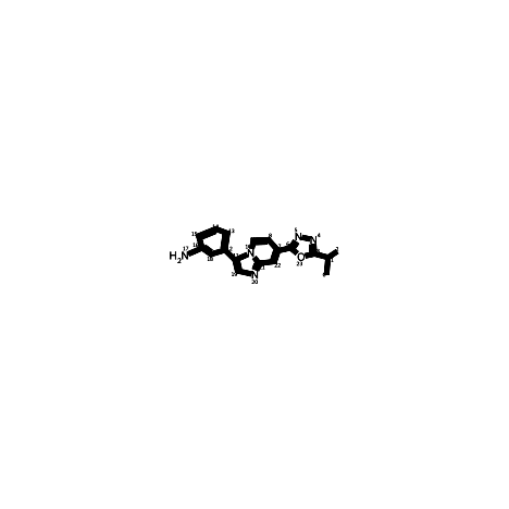 CC(C)c1nnc(-c2ccn3c(-c4cccc(N)c4)cnc3c2)o1